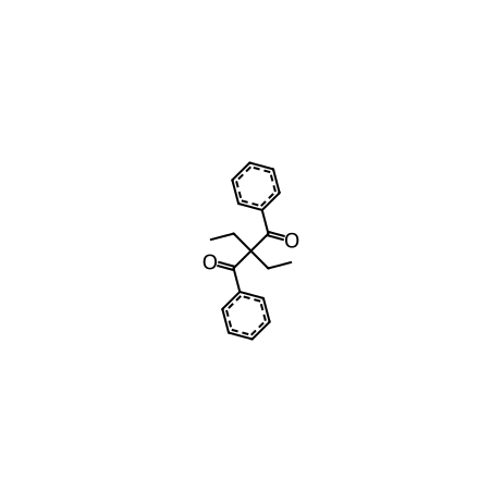 CCC(CC)(C(=O)c1ccccc1)C(=O)c1ccccc1